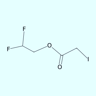 O=C(CI)OCC(F)F